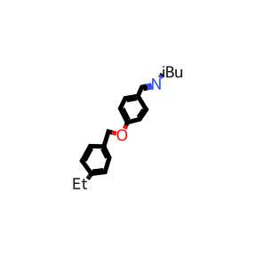 CCc1ccc(COc2ccc(C=NC(C)CC)cc2)cc1